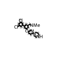 CNCc1cc(Oc2ccc(N3CCCNCC3)nc2)cc(-c2cc(Cl)cc(Cl)c2)c1